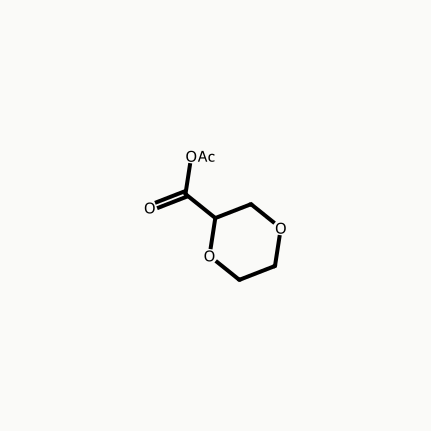 CC(=O)OC(=O)C1COCCO1